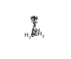 CN(C)CNCCSCc1nccs1